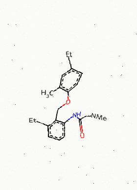 CCc1ccc(OCc2c(CC)cccc2NC(=O)NC)c(C)c1